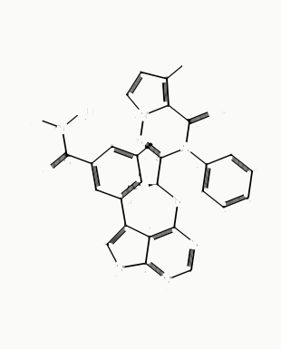 Cc1ccn2nc([C@H](C)Nc3ncnc4[nH]cc(-c5cc(O)cc(C(=O)N(C)C)c5)c34)n(-c3ccccc3)c(=O)c12